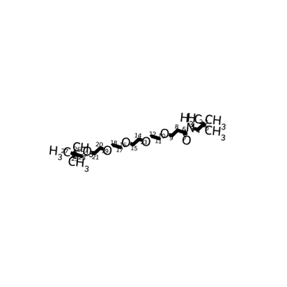 CC(C)(C)CNC(=O)CCOCCOCCOCCOCCOCC(C)(C)C